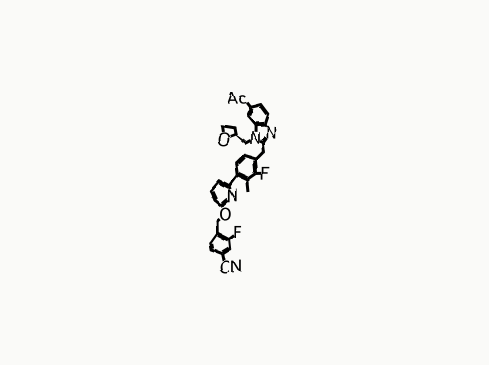 CC(=O)c1ccc2nc(Cc3ccc(-c4cccc(OCc5ccc(C#N)cc5F)n4)c(C)c3F)n(C[C@@H]3CCO3)c2c1